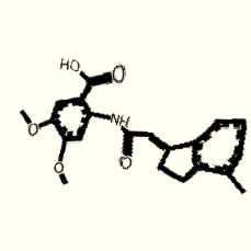 COc1cc(NC(=O)/C=C2\CCc3c(C)cccc32)c(C(=O)O)cc1OC